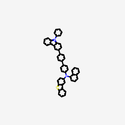 c1ccc(-n2c3ccccc3c3cc(-c4ccc(-c5ccc(N(c6ccc7sc8ccccc8c7c6)c6cccc7ccccc67)cc5)cc4)ccc32)cc1